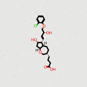 O=C(O)CCC[C@H]1CC[C@@H]2[C@@H](C=C[C@@H](O)COc3ccccc3Cl)[C@H](O)C[C@@H]2OC1